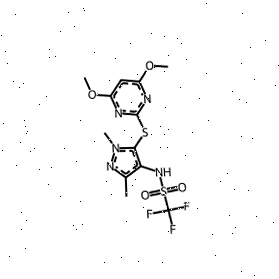 COc1cc(OC)nc(Sc2c(NS(=O)(=O)C(F)(F)F)c(C)nn2C)n1